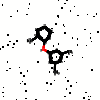 Cc1cc(C)cc(Oc2ccccc2C)c1